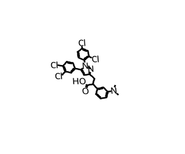 CN(C)c1cccc(C(Cc2cc(-c3ccc(Cl)c(Cl)c3)n(-c3ccc(Cl)cc3Cl)n2)C(=O)O)c1